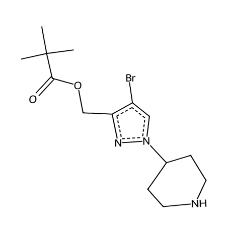 CC(C)(C)C(=O)OCc1nn(C2CCNCC2)cc1Br